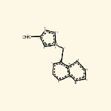 O=Cc1cn(Cc2cccc3ccccc23)nn1